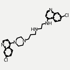 Clc1ccc2c(NCCNCCCN3CCN(c4ccnc5cc(Cl)ccc45)CC3)ccnc2c1